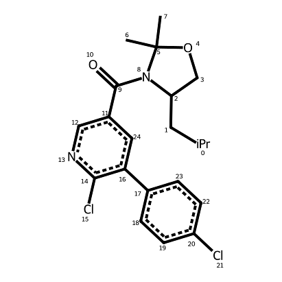 CC(C)CC1COC(C)(C)N1C(=O)c1cnc(Cl)c(-c2ccc(Cl)cc2)c1